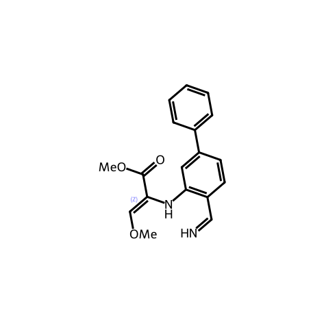 CO/C=C(\Nc1cc(-c2ccccc2)ccc1C=N)C(=O)OC